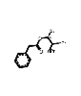 CCCC(CCC)[C@H](CC)OC(=O)Cc1ccccc1